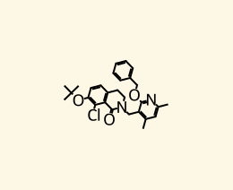 Cc1cc(C)c(CN2CCc3ccc(OC(C)(C)C)c(Cl)c3C2=O)c(OCc2ccccc2)n1